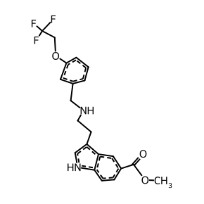 COC(=O)c1ccc2[nH]cc(CCNCc3cccc(OCC(F)(F)F)c3)c2c1